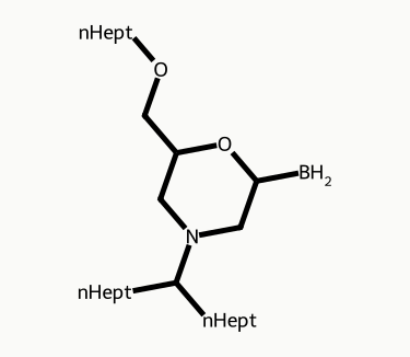 BC1CN(C(CCCCCCC)CCCCCCC)CC(COCCCCCCC)O1